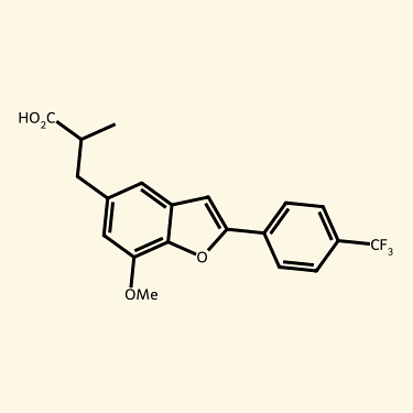 COc1cc(CC(C)C(=O)O)cc2cc(-c3ccc(C(F)(F)F)cc3)oc12